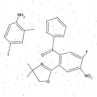 CC1(C)COC(c2cc([N+](=O)[O-])c(F)cc2C(=O)c2ccccc2)=N1.Cc1cc(I)ccc1N